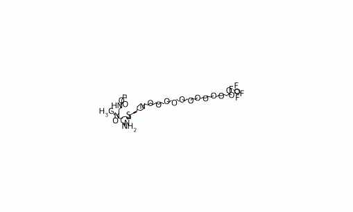 CCCN(CCCNC(=O)OC1CCC1)C(=O)C1=Cc2sc(C#CC3CCN(CCOCCOCCOCCOCCOCCOCCOCCOCCOCCOCCC(=O)Oc4c(F)c(F)cc(F)c4F)CC3)cc2N=C(N)C1